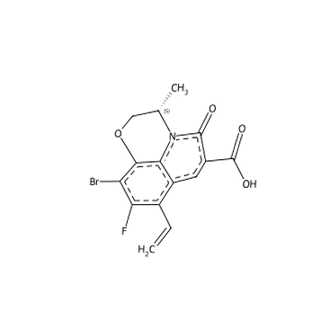 C=Cc1c(F)c(Br)c2c3c1cc(C(=O)O)c(=O)n3[C@@H](C)CO2